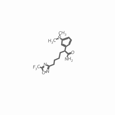 CN(C)c1cccc(C(CCCCc2noc(C(F)(F)F)n2)C(N)=O)c1